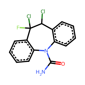 NC(=O)N1c2ccccc2C(Cl)C(F)(Cl)c2ccccc21